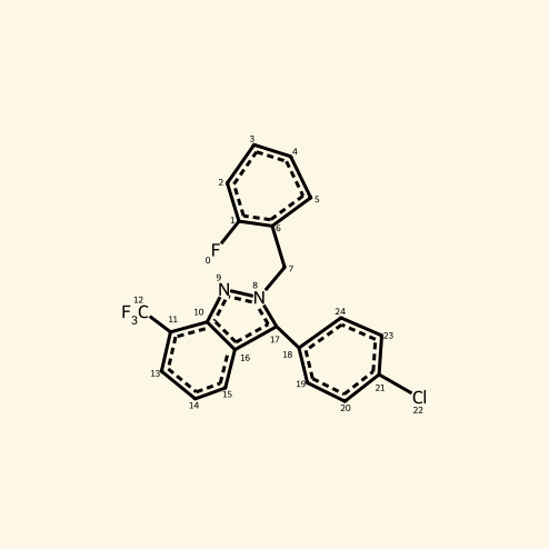 Fc1ccccc1Cn1nc2c(C(F)(F)F)cccc2c1-c1ccc(Cl)cc1